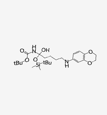 CC(C)(C)OC(=O)NC(O)(CCCCNc1ccc2c(c1)OCCO2)O[Si](C)(C)C(C)(C)C